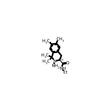 CCNC(=O)[C@@H]1Cc2cc(C)c(C)cc2C(C)(C)N1N